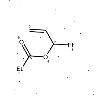 C=CC(CC)OC(=O)CC